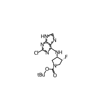 CC(C)(C)OC(=O)N1C[C@@H](F)[C@H](Nc2nc(Cl)nc3[nH]cnc23)C1